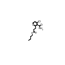 CCCCOC(=O)CCc1nccc(Cl)c1C(N)=O